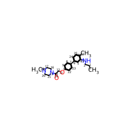 CCCNc1cc(-c2ccc(OCC(=O)N3CCN(C)CC3)cc2)ccc1C